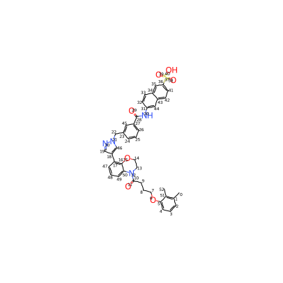 Cc1cccc(OCCCC(=O)N2CCOc3c(-c4cnn(Cc5cccc(C(=O)Nc6ccc7cc(S(=O)(=O)O)ccc7c6)c5)c4)cccc32)c1C